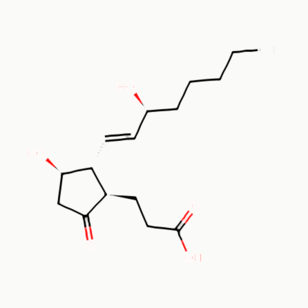 CCCCC[C@H](O)/C=C/[C@H]1[C@H](O)CC(=O)[C@@H]1CCC(=O)O